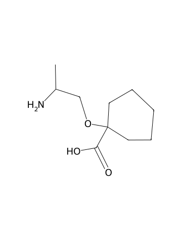 CC(N)COC1(C(=O)O)CCCCC1